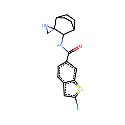 O=C(NC1C2CCC(CC2)[C@@]12CN2)c1ccc2cc(Cl)sc2c1